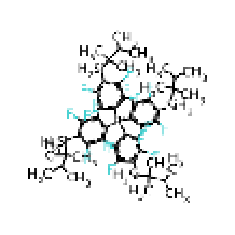 CC(C)C(C)(C)[SiH2]c1c(F)c(F)c([B-](c2c(F)c(F)c([SiH2]C(C)(C)C(C)C)c(F)c2F)(c2c(F)c(F)c([SiH2]C(C)(C)C(C)C)c(F)c2F)c2c(F)c(F)c([SiH2]C(C)(C)C(C)C)c(F)c2F)c(F)c1F